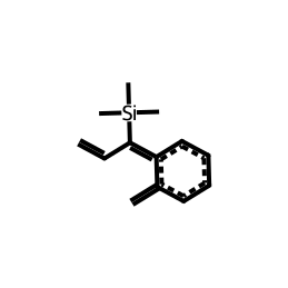 C=C/C(=c1/ccccc1=C)[Si](C)(C)C